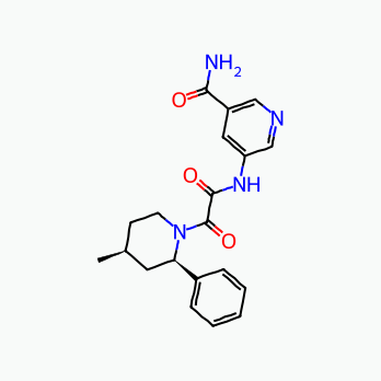 C[C@H]1CCN(C(=O)C(=O)Nc2cncc(C(N)=O)c2)[C@@H](c2ccccc2)C1